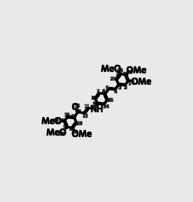 COc1cc(C=Cc2ccc(NC=CC(=O)c3cc(OC)c(OC)c(OC)c3)cc2)cc(OC)c1OC